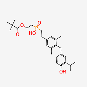 Cc1cc(CCP(=O)(O)CCOC(=O)C(C)(C)C)cc(C)c1Cc1ccc(O)c(C(C)C)c1